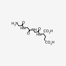 NCC(=O)NCC(=O)NCC(=O)N[C@@H](CCC(=O)O)C(=O)O